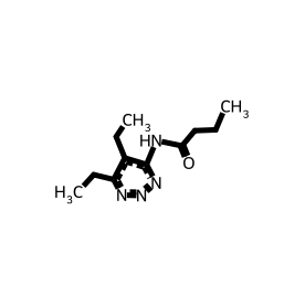 CCCC(=O)Nc1nnnc(CC)c1CC